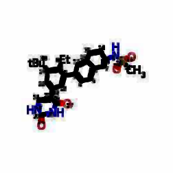 CCc1c(-c2ccc3cc(NS(C)(=O)=O)ccc3c2)cc(-c2c[nH]c(=O)[nH]c2=O)cc1C(C)(C)C